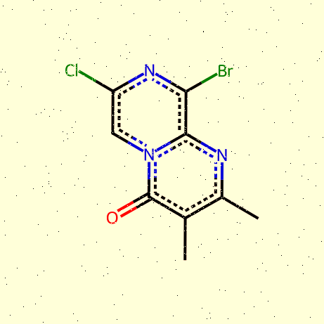 Cc1nc2c(Br)nc(Cl)cn2c(=O)c1C